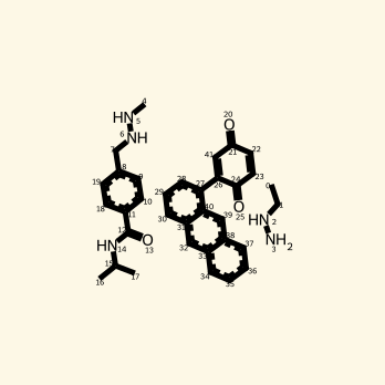 CCNN.CNNCc1ccc(C(=O)NC(C)C)cc1.O=C1C=CC(=O)C(c2cccc3cc4ccccc4cc23)=C1